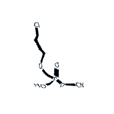 N#COP(=O)(O)OCCCl